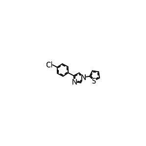 Clc1ccc(-c2cn(-c3cccs3)cn2)cc1